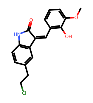 COc1cccc(C=C2C(=O)Nc3ccc(CCCl)cc32)c1O